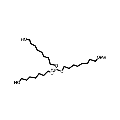 COCCCCCCCCO[SiH](OCCCCCCCO)OCCCCCCCCO